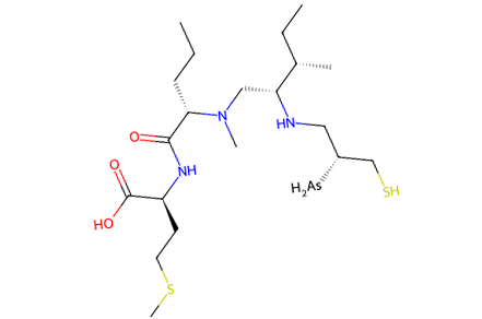 CCC[C@@H](C(=O)N[C@@H](CCSC)C(=O)O)N(C)C[C@@H](NC[C@@H]([AsH2])CS)[C@@H](C)CC